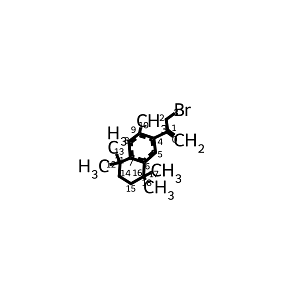 C=C(CBr)c1cc2c(cc1C)C(C)(C)CCC2(C)C